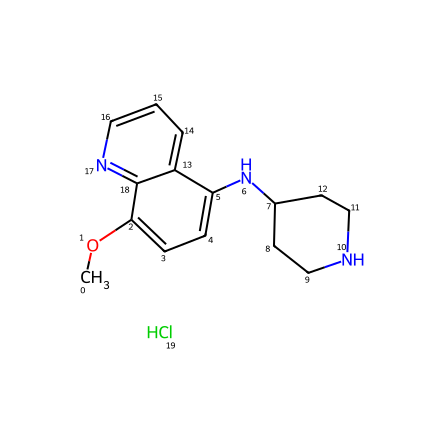 COc1ccc(NC2CCNCC2)c2cccnc12.Cl